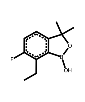 CCc1c(F)ccc2c1B(O)OC2(C)C